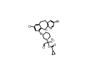 CC(C=O)(OC(=O)C1CC1)N1CCC([C@H]2c3ncc(Br)cc3CCc3cc(Cl)cc(Br)c32)CC1